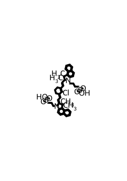 CC1(C)/C(=C\C=C2/CCCC(/C=C/C3N(CCCCS(=O)(=O)O)c4ccc5ccccc5c4C3(C)C)=C2Cl)N(CCCS(=O)(=O)O)c2ccc3ccccc3c21